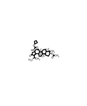 CC(=O)O[C@H]1CC[C@@]2(C)C(CC[C@]3(C)C2CCC2C4=C(C(C)C)C(=O)C[C@]4(NC(=O)OC4CCC4)CC[C@]23C)C1(C)C